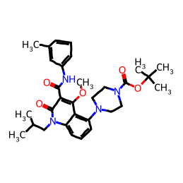 COc1c(C(=O)Nc2cccc(C)c2)c(=O)n(CC(C)C)c2cccc(N3CCN(C(=O)OC(C)(C)C)CC3)c12